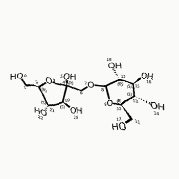 OC[C@H]1O[C@](O)(COC2O[C@H](CO)[C@@H](O)[C@H](O)[C@H]2O)[C@@H](O)[C@@H]1O